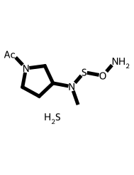 CC(=O)N1CCC(N(C)SON)C1.S